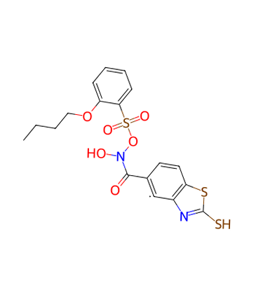 CCCCOc1ccccc1S(=O)(=O)ON(O)C(=O)c1[c]c2nc(S)sc2cc1